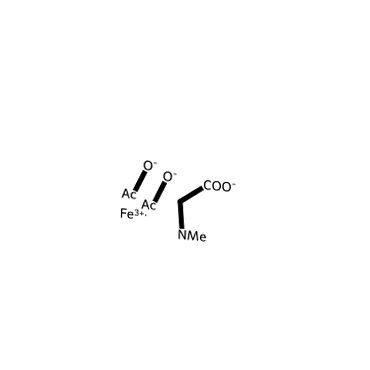 CC(=O)[O-].CC(=O)[O-].CNCC(=O)[O-].[Fe+3]